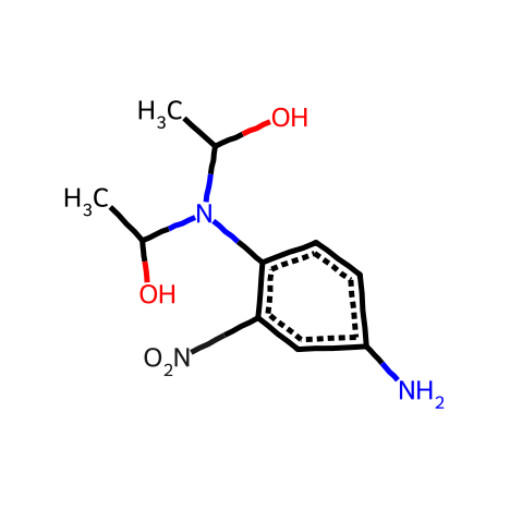 CC(O)N(c1ccc(N)cc1[N+](=O)[O-])C(C)O